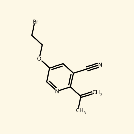 C=C(C)c1ncc(OCCBr)cc1C#N